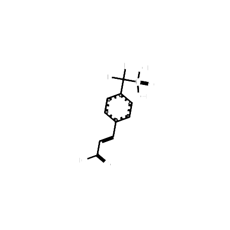 O=C(O)/C=C/c1ccc(C(F)(F)P(=O)(O)O)cc1